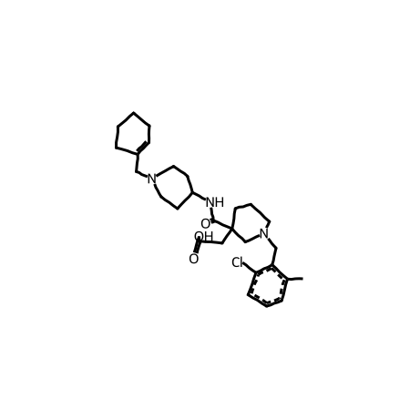 Cc1cccc(Cl)c1CN1CCCC(CC(=O)O)(C(=O)NC2CCN(CC3=CCCCC3)CC2)C1